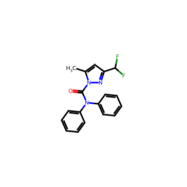 Cc1[c]c(C(F)F)nn1C(=O)N(c1ccccc1)c1ccccc1